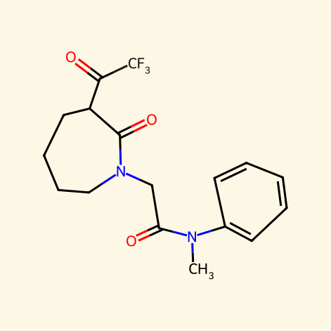 CN(C(=O)CN1CCCCC(C(=O)C(F)(F)F)C1=O)c1ccccc1